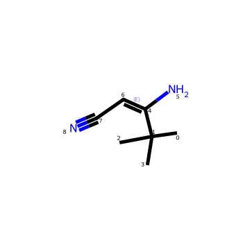 CC(C)(C)/C(N)=C\C#N